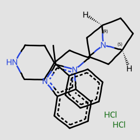 Cc1nc2ccccc2n1C1C[C@H]2CC[C@@H](C1)N2CCC1(c2ccccc2)CCNCC1.Cl.Cl